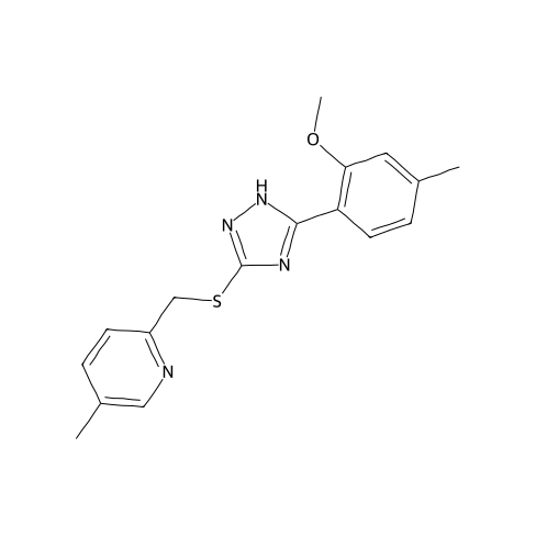 COc1cc(C)ccc1-c1nc(SCc2ccc(C)cn2)n[nH]1